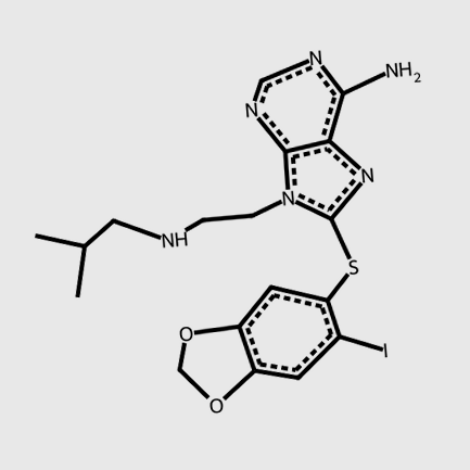 CC(C)CNCCn1c(Sc2cc3c(cc2I)OCO3)nc2c(N)ncnc21